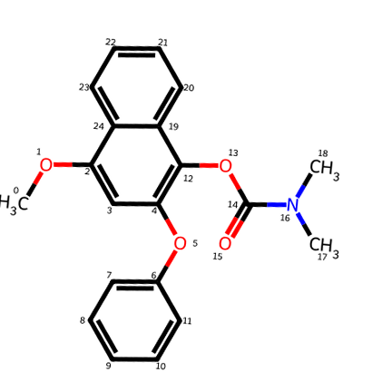 COc1cc(Oc2ccccc2)c(OC(=O)N(C)C)c2ccccc12